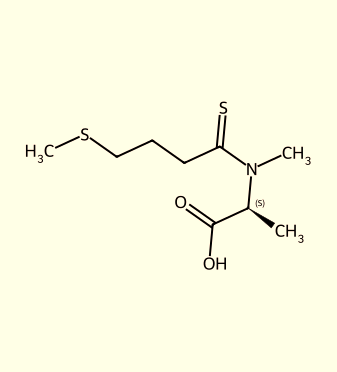 CSCCCC(=S)N(C)[C@@H](C)C(=O)O